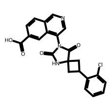 O=C(O)c1ccc2cncc(N3C(=O)NC4(CC(c5ccccc5Cl)C4)C3=O)c2c1